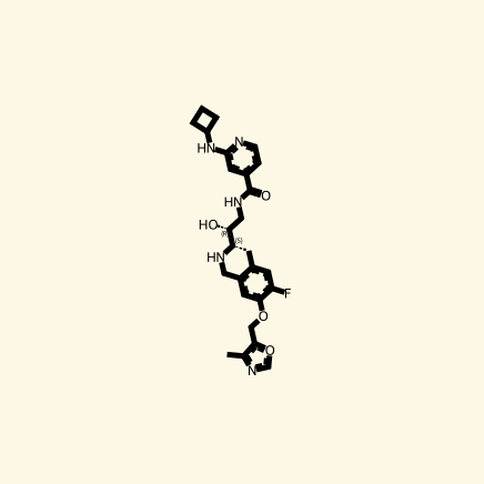 Cc1ncoc1COc1cc2c(cc1F)C[C@@H]([C@H](O)CNC(=O)c1ccnc(NC3CCC3)c1)NC2